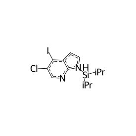 CC(C)[SiH](C(C)C)n1ccc2c(I)c(Cl)cnc21